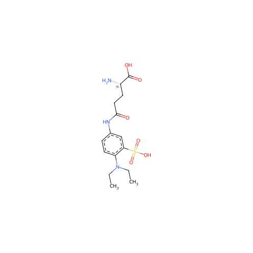 CCN(CC)c1ccc(NC(=O)CC[C@H](N)C(=O)O)cc1S(=O)(=O)O